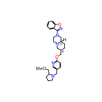 COCC1CCCN1Cc1ccc(OC[C@@H]2CC[C@H]3CN(c4noc5ccccc45)CCN3C2)nc1